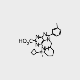 Cc1cccc(-c2nc3nc(C(=O)O)nc(N[C@H](C)C4CCC4)c3n2CC2CCCCC2)c1